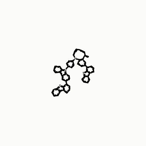 C=C1/C=C\C=C/CN(c2ccc(-n3c4ccccc4c4cc(-c5cccc6c5sc5ccccc56)ccc43)cc2)c2ccc(-c3cccc4c3sc3ccccc34)cc21